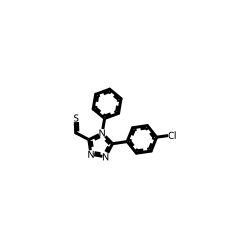 S=Cc1nnc(-c2ccc(Cl)cc2)n1-c1ccccc1